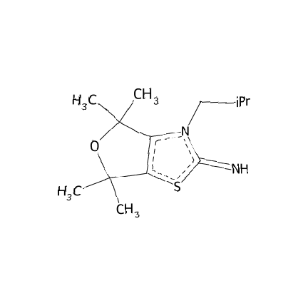 CC(C)Cn1c2c(sc1=N)C(C)(C)OC2(C)C